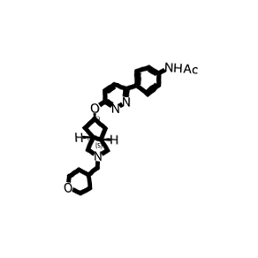 CC(=O)Nc1ccc(-c2ccc(O[C@H]3C[C@@H]4CN(CC5CCOCC5)C[C@@H]4C3)nn2)cc1